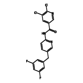 O=C(Nc1ccc(Cc2cc(F)cc(F)c2)cn1)c1cnc(Cl)c(Cl)c1